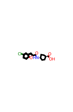 O=C(N[C@H]1CC[C@H](C(=O)O)CC1)c1cc2cc(Cl)ccc2o1